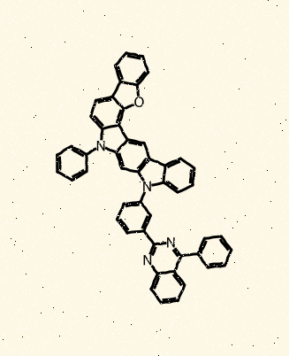 c1ccc(-c2nc(-c3cccc(-n4c5ccccc5c5cc6c7c8oc9ccccc9c8ccc7n(-c7ccccc7)c6cc54)c3)nc3ccccc23)cc1